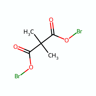 CC(C)(C(=O)OBr)C(=O)OBr